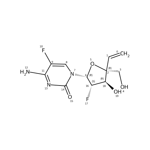 C=C[C@]1(CO)O[C@@H](n2cc(F)c(N)nc2=O)[C@@H](F)[C@@H]1O